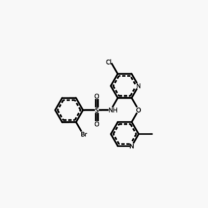 Cc1ncccc1Oc1ncc(Cl)cc1NS(=O)(=O)c1ccccc1Br